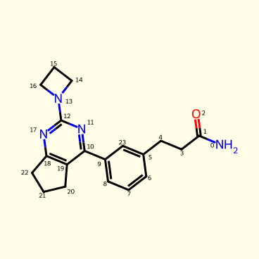 NC(=O)CCc1cccc(-c2nc(N3CCC3)nc3c2CCC3)c1